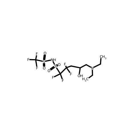 CCN(CC)CC(O)CC(F)(F)C(F)(F)S(=O)(=O)NS(=O)(=O)C(F)(F)F